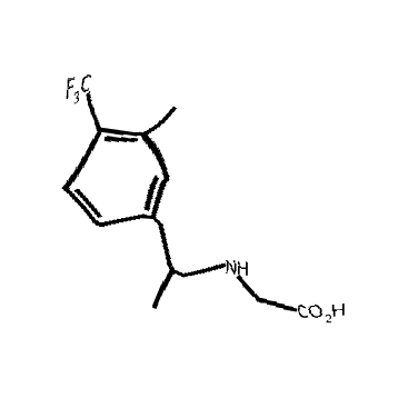 Cc1cc(C(C)NCC(=O)O)ccc1C(F)(F)F